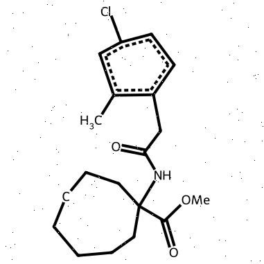 COC(=O)C1(NC(=O)Cc2ccc(Cl)cc2C)CCCCCCC1